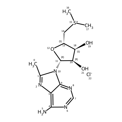 Cc1nc2c(N)ncnc2n1[C@@H]1O[C@H](C[S+](C)C)[C@@H](O)[C@H]1O.[Cl-]